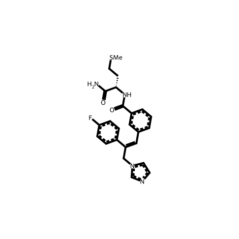 CSCC[C@H](NC(=O)c1cccc(/C=C(/Cn2ccnc2)c2ccc(F)cc2)c1)C(N)=O